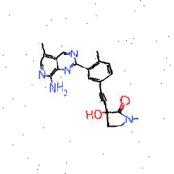 Cc1ccc(C#CC2(O)CCN(C)C2=O)cc1-c1ncc2c(C)cnc(N)c2n1